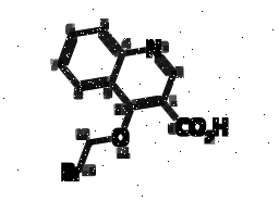 O=C(O)c1cnc2ccccc2c1OCBr